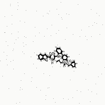 O=C(NCCC[C@H](NC(=O)c1cc2ccccc2o1)C(=O)Nc1ccccc1-c1ccc(C(=O)O)cc1)OCc1ccccc1